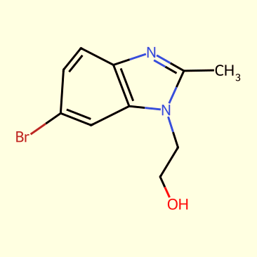 Cc1nc2ccc(Br)cc2n1CCO